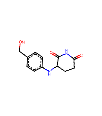 O=C1CCC(Nc2ccc(CO)cc2)C(=O)N1